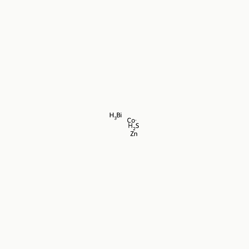 S.[BiH3].[Co].[Zn]